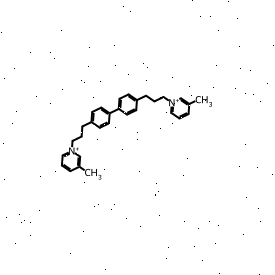 Cc1ccc[n+](CCCc2ccc(-c3ccc(CCC[n+]4cccc(C)c4)cc3)cc2)c1